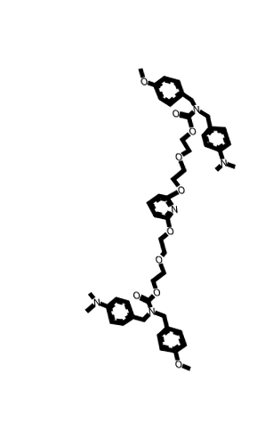 COc1ccc(CN(Cc2ccc(N(C)C)cc2)C(=O)OCCOCCOc2cccc(OCCOCCOC(=O)N(Cc3ccc(OC)cc3)Cc3ccc(N(C)C)cc3)n2)cc1